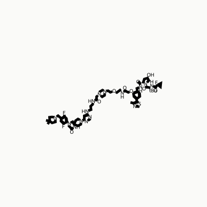 Cc1ncsc1-c1ccc(CNC(=O)[C@@H]2C[C@@H](O)CN2C(=O)[C@@H](NC(=O)C2(F)CC2)C(C)(C)C)c(OCC(=O)NCCOCCN2CCN(CC(=O)NCCCNc3cc(N4CCC5(CC4)CN(c4cc(F)c(CN6CCC(C)(C)CC6)cc4F)CC(=O)N5)ncn3)CC2)c1